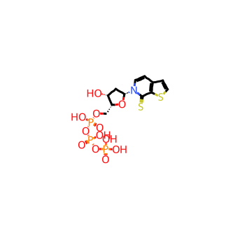 O=P(O)(O)OP(=O)(O)OP(=O)(O)OC[C@H]1O[C@@H](n2ccc3ccsc3c2=S)C[C@H]1O